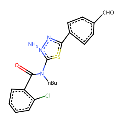 CCCCN(C(=O)c1ccccc1Cl)c1nnc(-c2ccc(C=O)cc2)s1.N